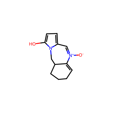 [O-][N+]1=Cc2ccc(O)n2CC2CCCC=C21